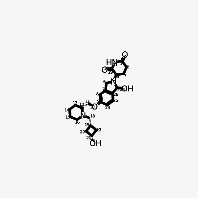 O=C1CCC(N2Cc3cc(OC[C@H]4CCCCN4C[C@H]4C[C@@H](O)C4)ccc3C2O)C(=O)N1